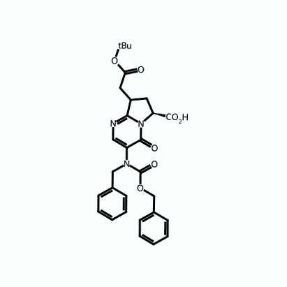 CC(C)(C)OC(=O)CC1C[C@@H](C(=O)O)n2c1ncc(N(Cc1ccccc1)C(=O)OCc1ccccc1)c2=O